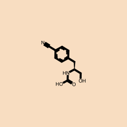 N#Cc1ccc(C[C@@H](CO)NC(=O)O)cc1